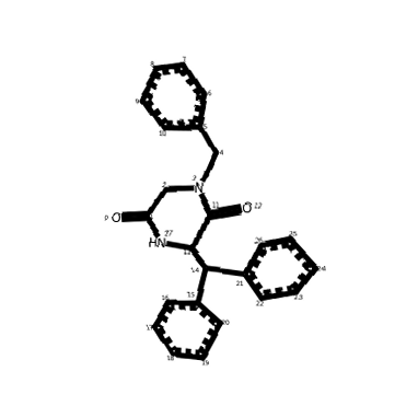 O=C1CN(Cc2ccccc2)C(=O)C(C(c2ccccc2)c2ccccc2)N1